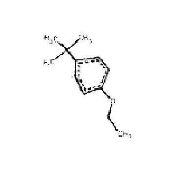 CCOc1c[c]c(C(C)(C)C)cc1